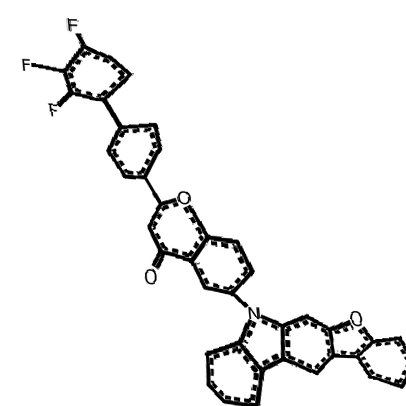 O=c1cc(-c2ccc(-c3ccc(F)c(F)c3F)cc2)oc2ccc(-n3c4ccccc4c4cc5c(cc43)oc3ccccc35)cc12